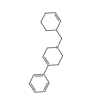 C1=CC(CN2CC=C(c3ccccc3)CC2)CCC1